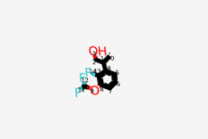 [CH2]C(CO)c1cccc(OC(F)F)c1F